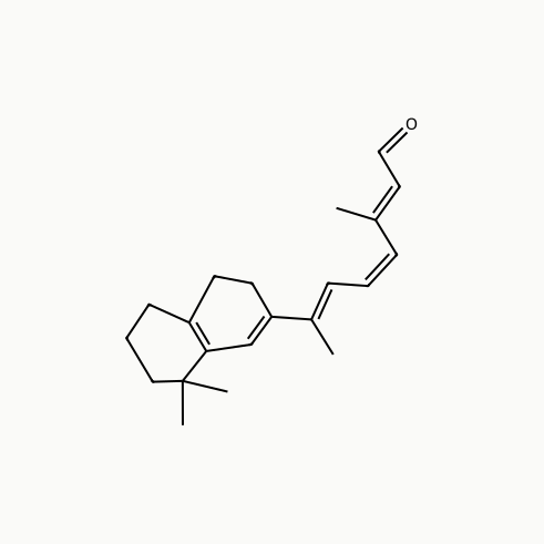 CC(/C=C\C=C(/C)C1=CC2=C(CCCC2(C)C)CC1)=C\C=O